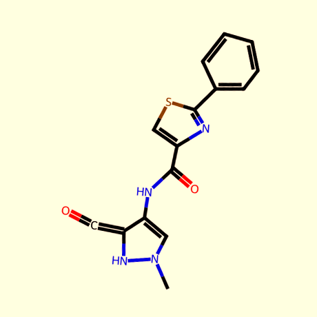 CN1C=C(NC(=O)c2csc(-c3ccccc3)n2)C(=C=O)N1